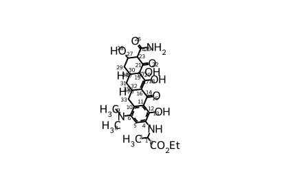 CCOC(=O)C(C)Nc1cc(N(C)C)c2c(c1O)C(=O)C1=C(O)[C@]3(O)C(=O)C(C(N)=O)C(O)C[C@@H]3C[C@@H]1C2